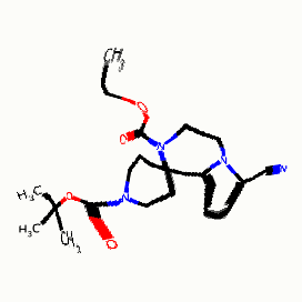 CCOC(=O)N1CCn2c(C#N)ccc2C12CCN(C(=O)OC(C)(C)C)CC2